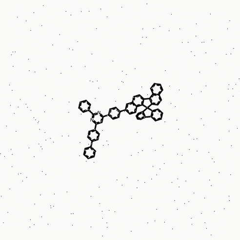 c1ccc(-c2ccc(-c3cc(-c4ccc(-c5ccc6c7c(ccc6c5)-c5c(ccc6ccccc56)C75c6ccccc6-c6ccccc65)cc4)nc(-c4ccccc4)n3)cc2)cc1